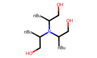 CCCCC(CO)N(C(CO)CCCC)C(CO)CCCC